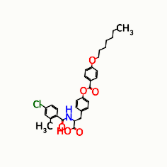 CCCCCCCOc1ccc(C(=O)Oc2ccc(C[C@H](NC(=O)c3ccc(Cl)cc3C)C(=O)O)cc2)cc1